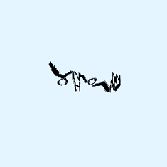 CC#CC(=O)CNCCOCCCn1ccnn1